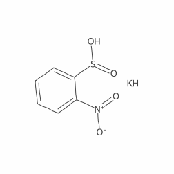 O=[N+]([O-])c1ccccc1S(=O)O.[KH]